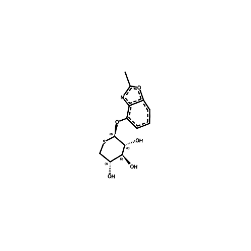 Cc1nc2c(O[C@@H]3SC[C@@H](O)[C@H](O)[C@H]3O)cccc2o1